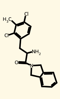 Cc1c(Cl)ccc(CC(N)C(=O)N2Cc3ccccc3C2)c1Cl